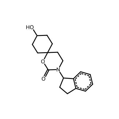 O=C1OC2(CCC(O)CC2)CCN1C1CCc2ccccc21